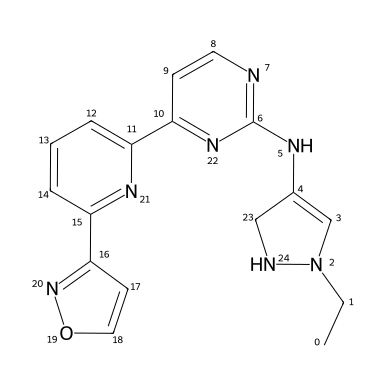 CCN1C=C(Nc2nccc(-c3cccc(-c4ccon4)n3)n2)CN1